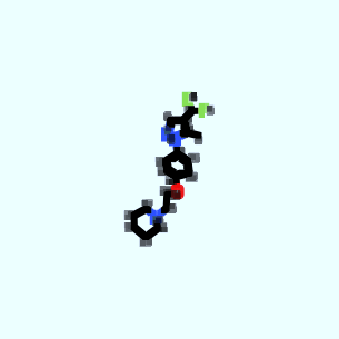 Cc1c(C(F)F)cnn1-c1ccc(OCCN2CCCCC2)cc1